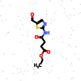 CCOC(=O)CCC(=O)Nc1ncc(C=O)s1